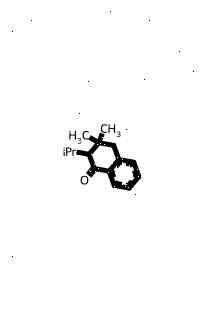 CC(C)C1C(=O)c2ccccc2CC1(C)C